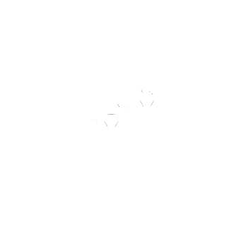 CCN(c1cc([S+]([O-])C2CCC2)cc(C(=O)NCc2c(C)cc(C)[nH]c2=O)c1C)C1CCOCC1